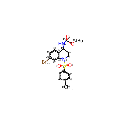 Cc1ccc(S(=O)(=O)N2CCC(NC(=O)OC(C)(C)C)c3ccc(Br)cc32)cc1